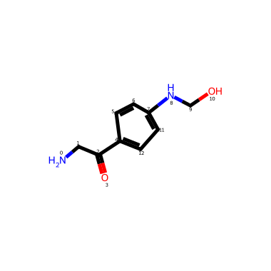 NCC(=O)c1ccc(NCO)cc1